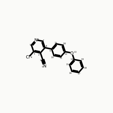 N#Cc1c(Cl)cncc1-c1ccc(Oc2ccccc2)cc1